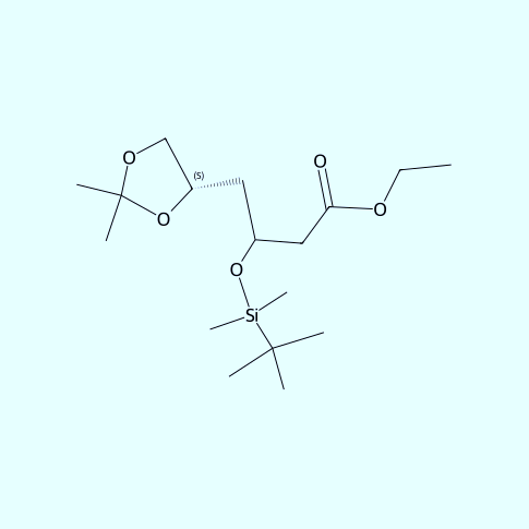 CCOC(=O)CC(C[C@H]1COC(C)(C)O1)O[Si](C)(C)C(C)(C)C